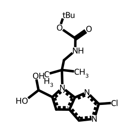 CC(C)(C)OC(=O)NCC(C)(C)n1c(C(O)O)cc2cnc(Cl)nc21